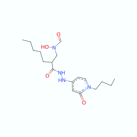 CCCCCC(CN(O)C=O)C(=O)NNc1ccn(CCCC)c(=O)c1